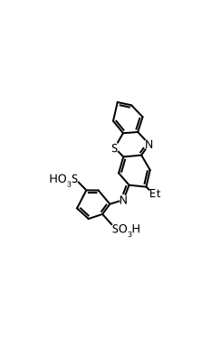 CCc1cc2nc3ccccc3sc-2c/c1=N\c1cc(S(=O)(=O)O)ccc1S(=O)(=O)O